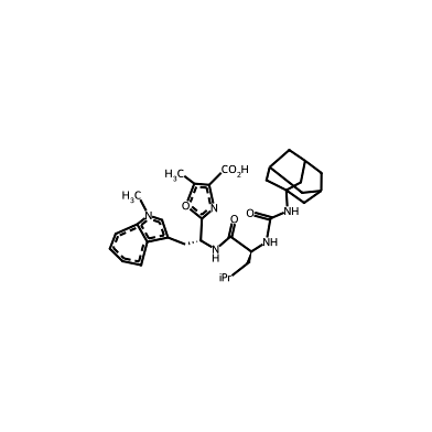 Cc1oc([C@@H](Cc2cn(C)c3ccccc23)NC(=O)[C@H](CC(C)C)NC(=O)NC23CC4CC(CC(C4)C2)C3)nc1C(=O)O